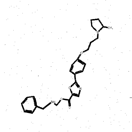 CC1CCCN1CCCOc1ccc(-c2ncc(C(=O)OCNCc3ccccc3)o2)cc1